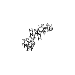 O=C(c1c[nH]c(-c2nc3ccc([C@H]4CCOC4)c(F)c3[nH]2)c1)c1cccnc1C(F)(F)F